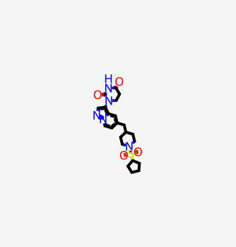 O=C1CCN(c2cnn3ccc(CC4CCN(S(=O)(=O)C5CCCC5)CC4)cc23)C(=O)N1